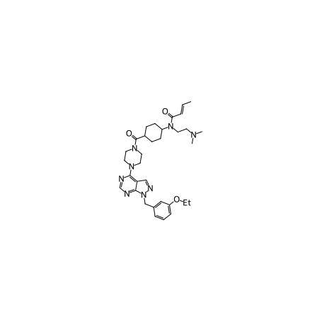 CC=CC(=O)N(CCN(C)C)C1CCC(C(=O)N2CCN(c3ncnc4c3cnn4Cc3cccc(OCC)c3)CC2)CC1